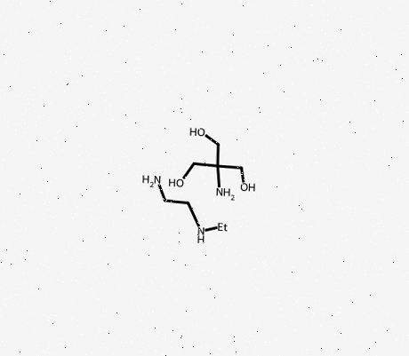 CCNCCN.NC(CO)(CO)CO